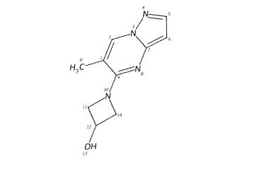 Cc1cn2nccc2nc1N1CC(O)C1